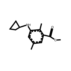 COC(=O)c1cc(C)cc(NC2CCC2)c1C